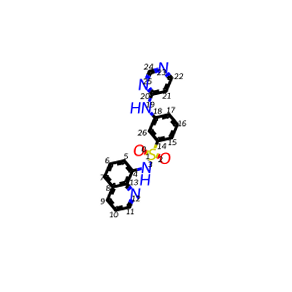 O=S(=O)(Nc1cccc2cccnc12)c1cccc(Nc2ccncn2)c1